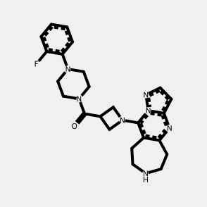 O=C(C1CN(c2c3c(nc4ccnn24)CCNCC3)C1)N1CCN(c2ccccc2F)CC1